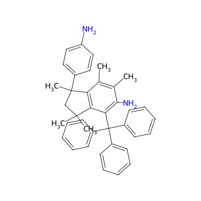 Cc1c(C)c2c(c(C(c3ccccc3)(c3ccccc3)c3ccccc3)c1N)C(C)(C)CC2(C)c1ccc(N)cc1